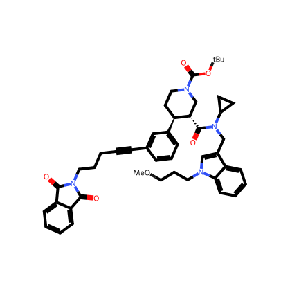 COCCCn1cc(CN(C(=O)[C@H]2CN(C(=O)OC(C)(C)C)CC[C@@H]2c2cccc(C#CCCCN3C(=O)c4ccccc4C3=O)c2)C2CC2)c2ccccc21